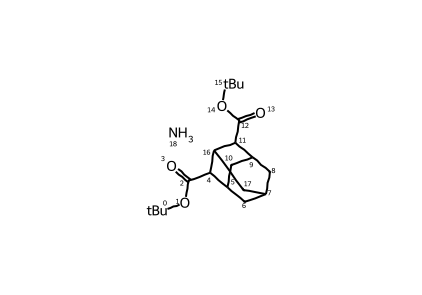 CC(C)(C)OC(=O)C1C2CC3CC(C2)C(C(=O)OC(C)(C)C)C1C3.N